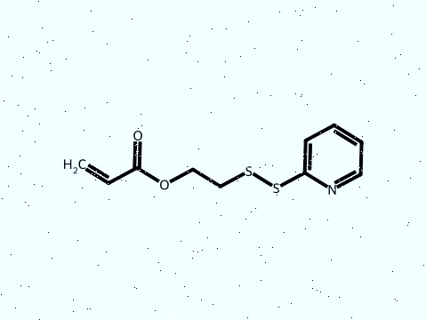 C=CC(=O)OCCSSc1ccccn1